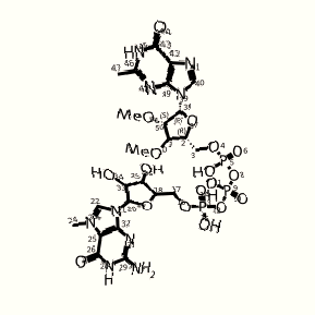 COC1[C@@H](COP(=O)(O)OP(=O)(O)OP(=O)(O)OCC2OC(n3c[n+](C)c4c(=O)[nH]c(N)nc43)C(O)C2O)O[C@@H](n2cnc3c(=O)[nH]c(C)nc32)[C@H]1OC